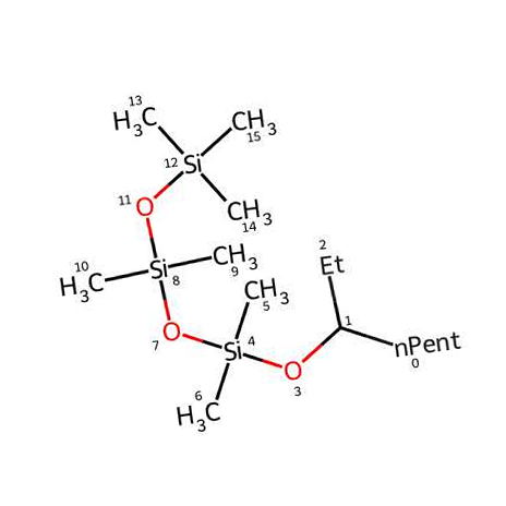 CCCCCC(CC)O[Si](C)(C)O[Si](C)(C)O[Si](C)(C)C